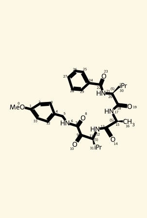 COc1ccc(CNC(=O)C(=O)[C@@H](NC(=O)[C@H](C)NC(=O)[C@@H](NC(=O)c2ccccc2)C(C)C)C(C)C)cc1